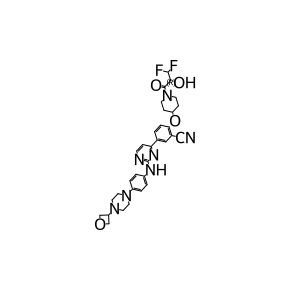 N#Cc1cc(-c2ccnc(Nc3ccc(N4CCN(C5COC5)CC4)cc3)n2)ccc1OC1CCN(C(=O)[C@@H](O)C(F)F)CC1